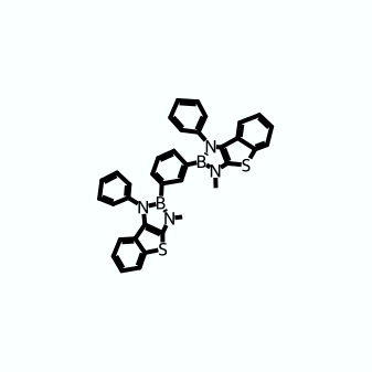 CN1B(c2cccc(B3N(C)c4sc5ccccc5c4N3c3ccccc3)c2)N(c2ccccc2)c2c1sc1ccccc21